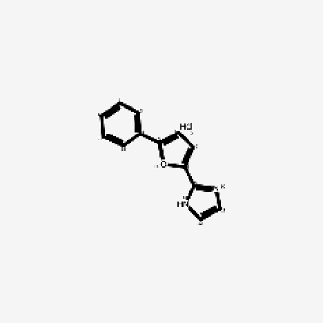 Cl.c1ccc(-c2ccc(-c3ncc[nH]3)o2)cc1